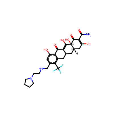 NC(=O)C1=C(O)C[C@@H]2CC3Cc4c(c(O)cc(CNCCN5CCCC5)c4C(F)(F)F)C(=O)C3=C(O)[C@]2(O)C1=O